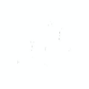 O=S([O-])F.O=S([O-])F.[Zn+2]